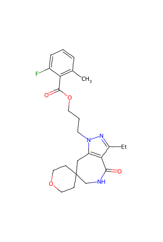 CCc1nn(CCCOC(=O)c2c(C)cccc2F)c2c1C(=O)NCC1(CCOCC1)C2